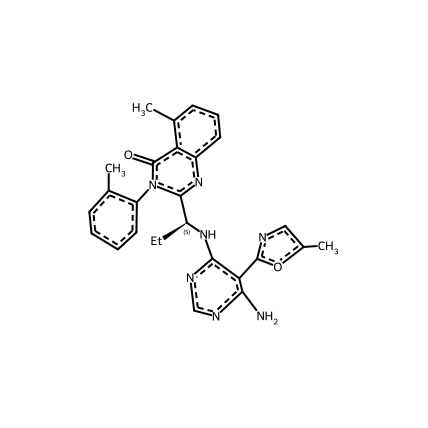 CC[C@H](Nc1ncnc(N)c1-c1ncc(C)o1)c1nc2cccc(C)c2c(=O)n1-c1ccccc1C